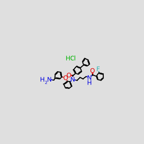 Cl.NCc1cccc(Oc2ccccc2N(CCCCNC(=O)c2ccccc2F)C(=O)c2ccc(-c3ccccc3)cc2)c1